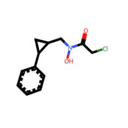 O=C(CCl)N(O)CC1CC1c1ccccc1